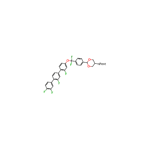 CCCCCC1COC(c2ccc(C(F)(F)Oc3ccc(-c4ccc(-c5ccc(F)c(F)c5)c(F)c4)c(F)c3)cc2)OC1